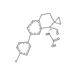 O=C[C@@]1(NC(=O)O)c2cc(-c3ccc(F)cc3)ccc2CCC12CC2